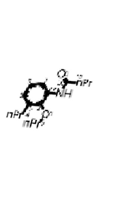 CCCOc1c(CCC)cccc1NC(=O)CCC